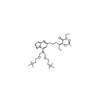 CCOC(=O)/C(OC(C)=O)=C(/CC)CCCc1cc(N(COCC[Si](C)(C)C)COCC[Si](C)(C)C)n2nccc2n1